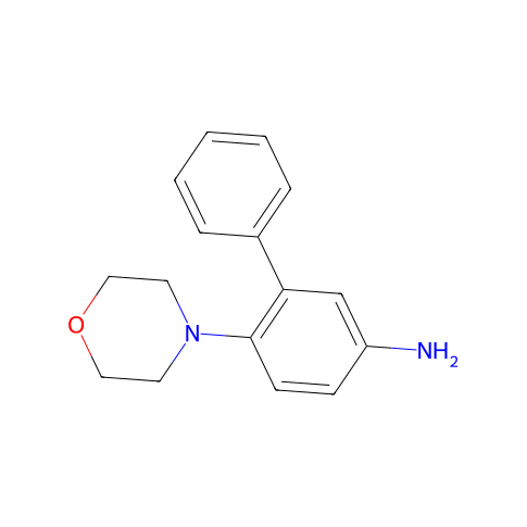 Nc1ccc(N2CCOCC2)c(-c2ccccc2)c1